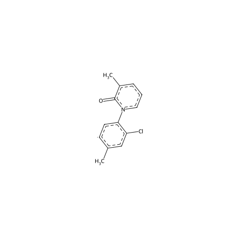 Cc1[c]cc(-n2cccc(C)c2=O)c(Cl)c1